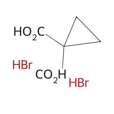 Br.Br.O=C(O)C1(C(=O)O)CC1